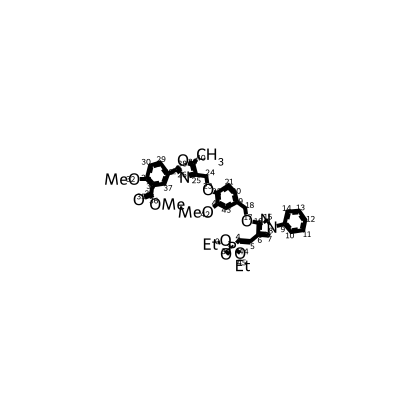 CCOP(=O)(/C=C/c1cn(-c2ccccc2)nc1OCc1ccc(OCc2nc(-c3ccc(OC)c(C(=O)OC)c3)oc2C)c(OC)c1)OCC